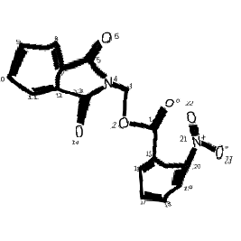 O=C(OCN1C(=O)c2ccccc2C1=O)c1ccccc1[N+](=O)[O-]